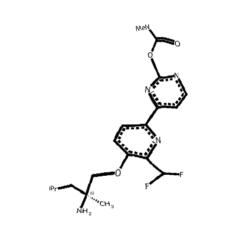 CNC(=O)Oc1nccc(-c2ccc(OC[C@@](C)(N)CC(C)C)c(C(F)F)n2)n1